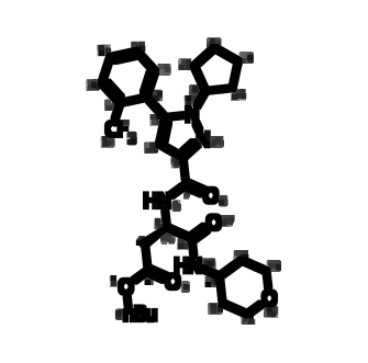 CCCCOC(=O)C[C@@H](NC(=O)c1cc(-c2ccccc2C(F)(F)F)n(C2CCCC2)n1)C(=O)NC1CCOCC1